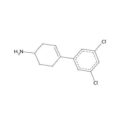 NC1CC=C(c2cc(Cl)cc(Cl)c2)CC1